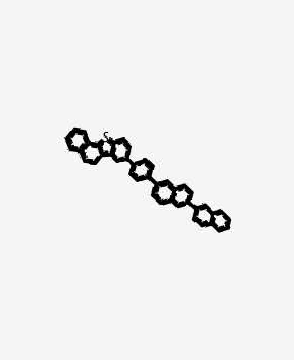 c1ccc2cc(-c3ccc4cc(-c5ccc(-c6ccc7sc8c9ccccc9ccc8c7c6)cc5)ccc4c3)ccc2c1